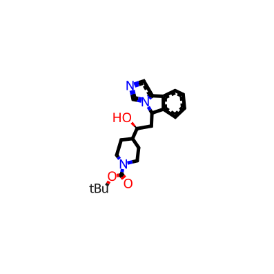 CC(C)(C)OC(=O)N1CCC([C@@H](O)CC2c3ccccc3-c3cncn32)CC1